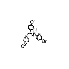 COc1ccc(/C(CN2CCN(C=O)CC2)=N\Nc2ccc(Br)cn2)cc1